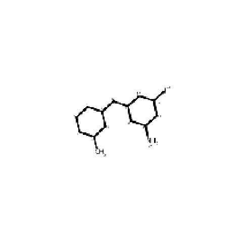 CC1CCCC(CC2CC(N)CC(I)C2)C1